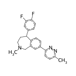 Cc1ccc(-c2ccc3c(c2)CN(C)CCC3c2ccc(F)c(F)c2)nn1